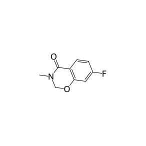 CN1COc2cc(F)ccc2C1=O